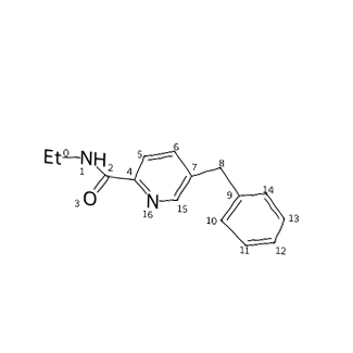 CCNC(=O)c1ccc(Cc2ccccc2)cn1